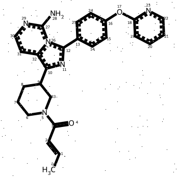 C/C=C/C(=O)N1CCCC(c2nc(-c3ccc(Oc4ccccn4)cc3)n3c(N)nccc23)C1